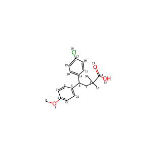 COc1ccc(C(CC(C)(C)C(=O)O)c2ccc(Cl)cc2)cc1